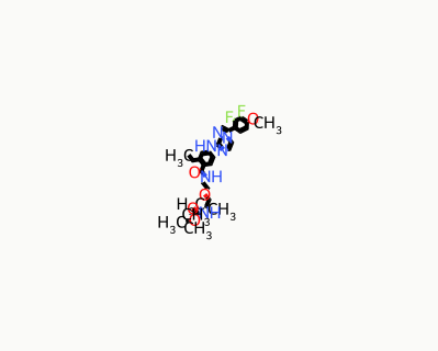 CCc1cc(Nc2nccn3c(-c4ccc(OC)c(F)c4F)cnc23)ccc1C(=O)NCCOCC(C)(C)NC(=O)OC(C)(C)C